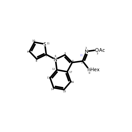 CCCCCC/C(=N\OC(C)=O)c1cn(-c2cccs2)c2ccccc12